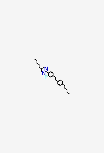 CCCCCc1ccc(CCc2ccc(-c3ncc(CCCCC)cn3)c(F)c2)cc1